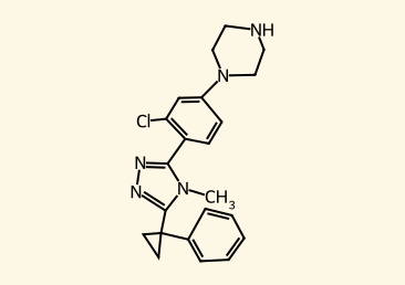 Cn1c(-c2ccc(N3CCNCC3)cc2Cl)nnc1C1(c2ccccc2)CC1